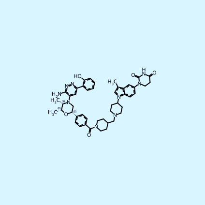 Cc1cn(C2CCN(CC3CCN(C(=O)c4ccc([C@H]5CN(c6cc(-c7ccccc7O)nnc6N)[C@@H](C)[C@@H](C)O5)cc4)CC3)CC2)c2ccc(N3CCC(=O)NC3=O)cc12